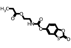 CCC(=O)OCCNC(=O)Oc1ccc2oc(=O)sc2c1